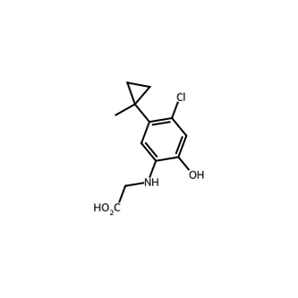 CC1(c2cc(NCC(=O)O)c(O)cc2Cl)CC1